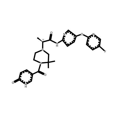 C[C@@H](C(=O)Nc1ccc(Oc2ccc(F)cn2)cn1)N1CCN(C(=O)c2ccc(=O)[nH]c2)C(C)(C)C1